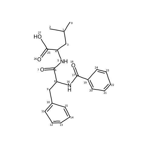 CC(C)CC(NC(=O)C(Cc1ccccc1)NC(=O)c1ccccc1)C(=O)O